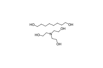 OCCCCCCCCO.OCCN(CCO)CCO